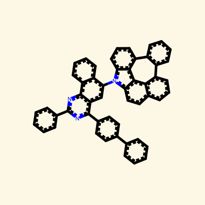 c1ccc(-c2ccc(-c3nc(-c4ccccc4)nc4c3cc(-n3c5cccc6c5c5c7c(cccc7ccc53)-c3ccccc3-6)c3ccccc34)cc2)cc1